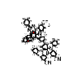 N#Cc1ccc2c(c1)B1c3cc(C#N)ccc3N(c3ccccc3)c3cc(-c4ccc5c(c4)c4cc(-c6ccccc6)ccc4n5-c4ccc(C(F)(F)F)cc4-c4nc(-c5ccccc5)nc(-c5ccccc5)n4)cc(c31)N2c1ccccc1